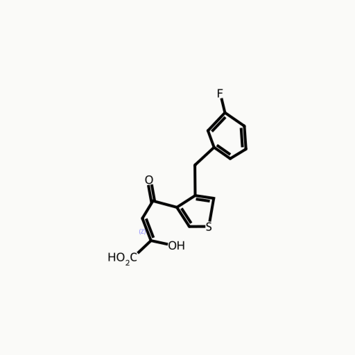 O=C(O)/C(O)=C/C(=O)c1cscc1Cc1cccc(F)c1